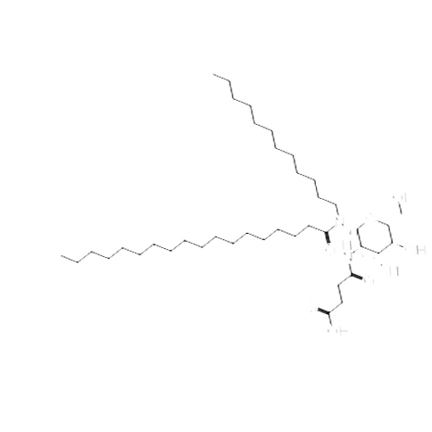 CCCCCCCCCCCCCCCCCC(=O)N(CCCCCCCCCCCC)[C@@H]1O[C@H](CO)[C@@H](O)[C@H](O)[C@H]1NC(=O)CCC(=O)O